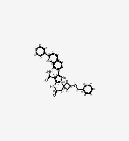 NC(=O)c1c(-c2ccc3ccc(-c4ccccc4)nc3c2)nn2c1NC(=O)CC21CC(OCc2ccccc2)C1